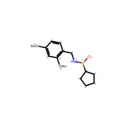 COc1ccc(CN[S+]([O-])C2CCCC2)c(OC)c1